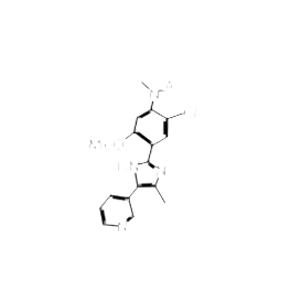 COc1cc(N(C)C(C)=O)c(Cl)cc1-c1nc(C)c(-c2cccnc2)[nH]1